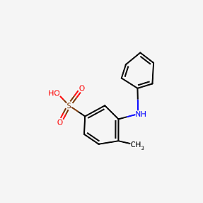 Cc1ccc(S(=O)(=O)O)cc1Nc1ccccc1